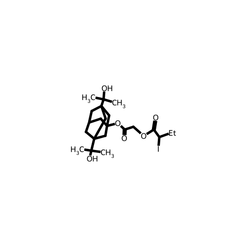 CCC(I)C(=O)OCC(=O)OC12CC3CC(C(C)(C)O)(C1)CC(C(C)(C)O)(C3)C2